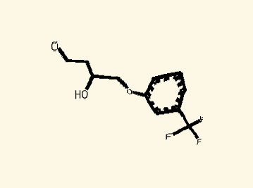 OC(CCCl)COc1cccc(C(F)(F)F)c1